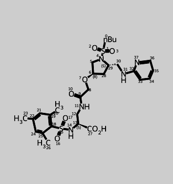 CCCCS(=O)(=O)N1C[C@H](OCC(=O)NC[C@H](NS(=O)(=O)c2c(C)cc(C)cc2C)C(=O)O)C[C@H]1CNc1ccccn1